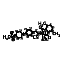 C[C@@H]1CC[C@H](C)N(C(=O)OC(C)(C)C)[C@@H]1C(=O)N[C@H](C#N)Cc1ccc(N2CCN(S(C)(=O)=O)CC2)cc1